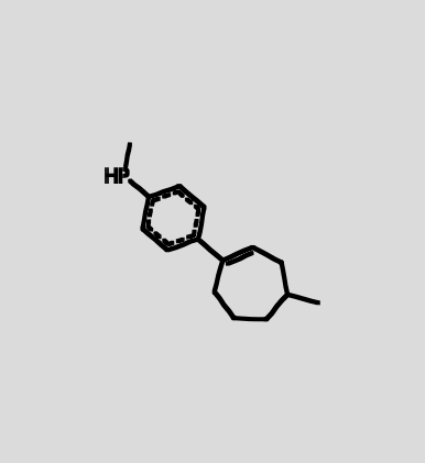 CPc1ccc(C2=CCC(C)CCC2)cc1